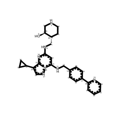 O[C@H]1CNCC[C@@H]1CNc1cc(NCc2ccc(-c3ccccn3)cc2)n2ncc(C3CC3)c2n1